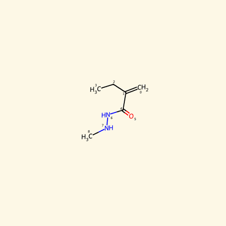 C=C(CC)C(=O)NNC